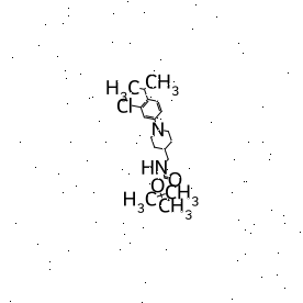 CC(C)c1ccc(N2CCC(CNC(=O)OC(C)(C)C)CC2)cc1Cl